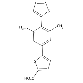 Cc1cc(-c2ccc(C(=O)O)s2)cc(C)c1-c1cccs1